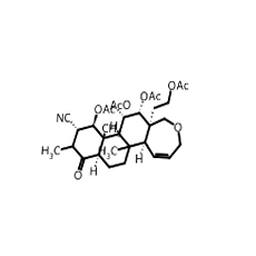 CC(=O)OCC[C@]12COCC=C[C@H]1C1(C)CC[C@H]3C(=O)C(C)[C@H](C#N)[C@@H](OC(C)=O)[C@]3(C)[C@H]1[C@H](OC(C)=O)[C@@H]2OC(C)=O